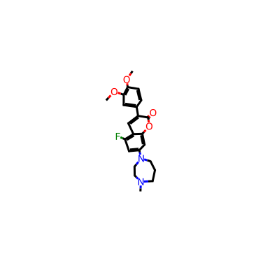 COc1ccc(-c2cc3c(F)cc(N4CCCN(C)CC4)cc3oc2=O)cc1OC